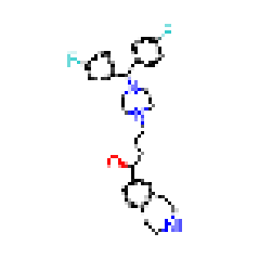 O=C(CCCN1CCN(C(c2ccc(F)cc2)c2ccc(F)cc2)CC1)c1ccc2c(c1)CCNCC2